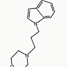 c1ccc2c(c1)ccn2CCCN1CCOCC1